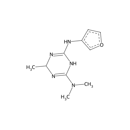 CC1N=C(Nc2ccoc2)NC(N(C)C)=N1